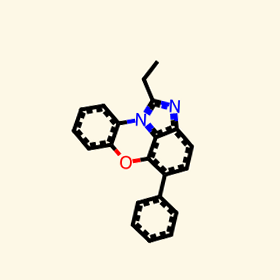 CCc1nc2ccc(-c3ccccc3)c3c2n1-c1ccccc1O3